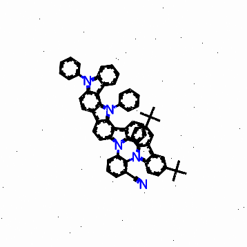 CC(C)(C)c1ccc2c(c1)c1cc(C(C)(C)C)ccc1n2-c1c(C#N)cccc1-n1c2ccccc2c2c1ccc1c3ccc4c(c5ccccc5n4-c4ccccc4)c3n(-c3ccccc3)c12